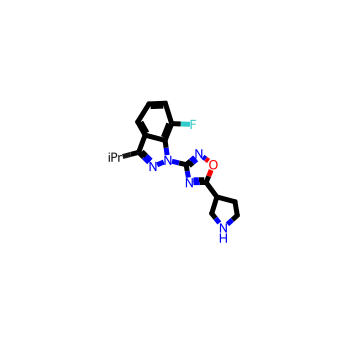 CC(C)c1nn(-c2noc(C3CCNC3)n2)c2c(F)cccc12